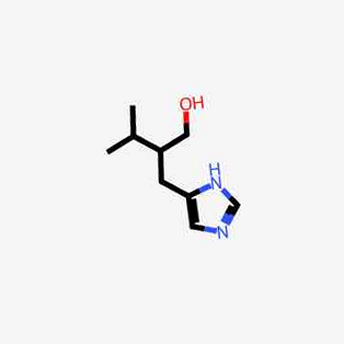 CC(C)C(CO)Cc1cnc[nH]1